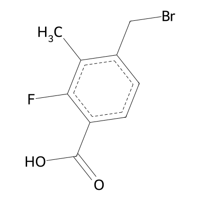 Cc1c(CBr)ccc(C(=O)O)c1F